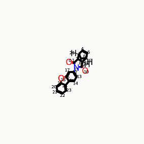 O=C1C2[C@H]3C=C[C@H](C3)[C@H]2C(=O)N1c1ccc2c(c1)oc1ccccc12